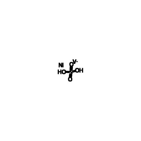 O=S(=O)(O)O.[Ni].[V]